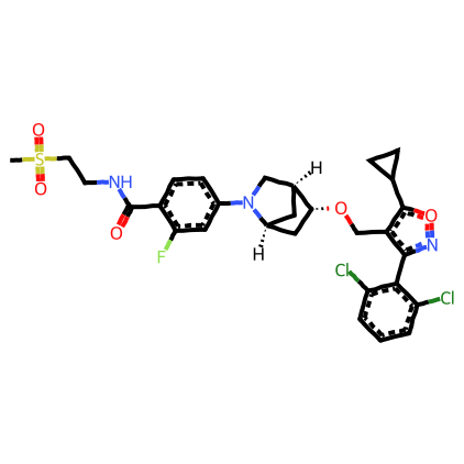 CS(=O)(=O)CCNC(=O)c1ccc(N2C[C@@H]3C[C@H]2C[C@H]3OCc2c(-c3c(Cl)cccc3Cl)noc2C2CC2)cc1F